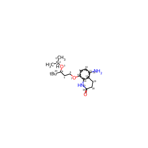 C[SiH](C)OC(CCOc1ccc(N)c2c1NC(=O)CC2)C(C)(C)C